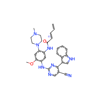 C=C/C=C/C(=O)Nc1cc(Nc2ncc(C#N)c(-c3c[nH]c4ccccc34)n2)c(OC)cc1N1CCN(C)CC1